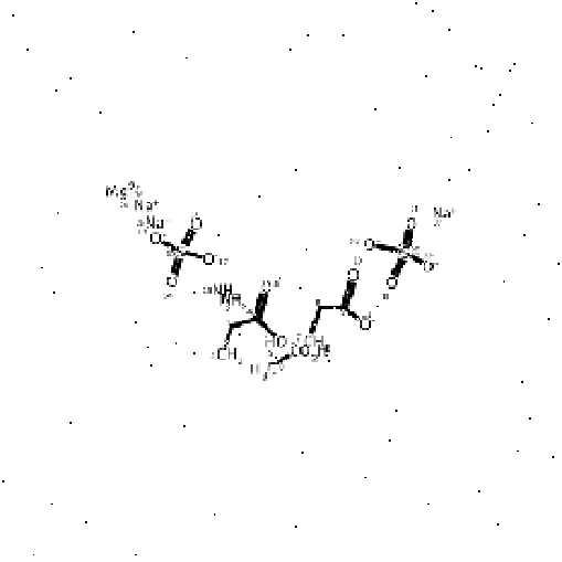 CC(=O)O.CCC(=O)O.CCC(=O)[O-].N.N.O=S(=O)([O-])[O-].O=S(=O)([O-])[O-].[Mg+2].[Na+].[Na+].[Na+]